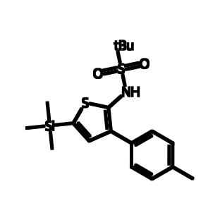 Cc1ccc(-c2cc([Si](C)(C)C)sc2NS(=O)(=O)C(C)(C)C)cc1